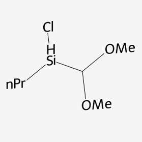 CCC[SiH](Cl)C(OC)OC